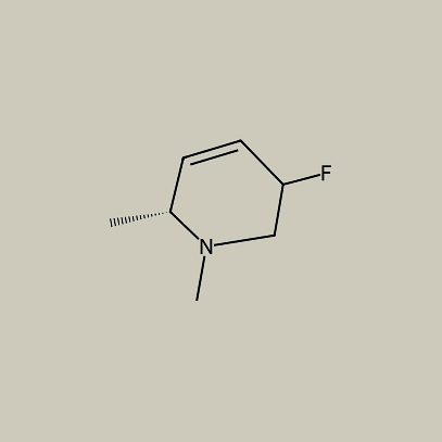 C[C@@H]1C=CC(F)CN1C